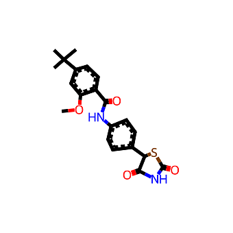 COc1cc(C(C)(C)C)ccc1C(=O)Nc1ccc(C2SC(=O)NC2=O)cc1